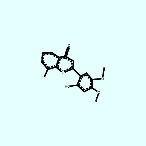 COc1cc(O)c(-c2cc(=O)c3cccc(Cl)c3o2)cc1OC